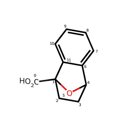 O=C(O)C12CCC(O1)c1ccccc12